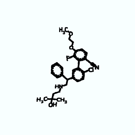 COCCOc1ccc(C#N)c(-c2cc(C(CNCCC(C)(C)O)c3ccccc3)ccc2Cl)c1F